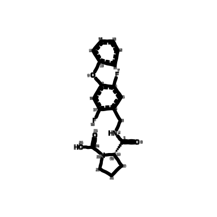 O=C(NCc1cc(F)c(Oc2ccccc2)cc1F)[C@@H]1CCCN1C(=O)O